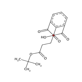 CC(C)(C)OC(=O)CCN1C(=O)c2cccc(c2C(=O)O)C1=O